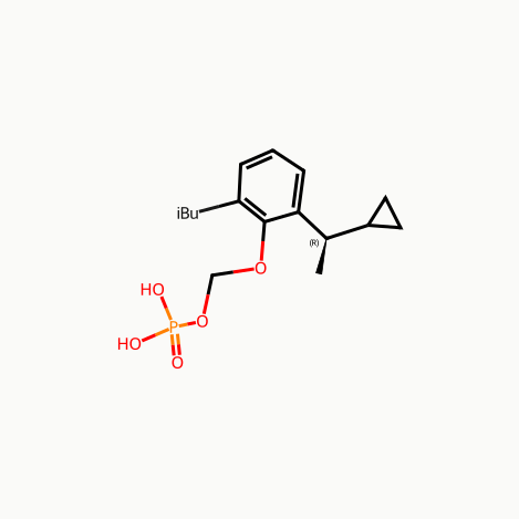 CCC(C)c1cccc([C@H](C)C2CC2)c1OCOP(=O)(O)O